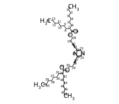 CCCCCCCC(CCCCCCC)C(=O)OCCC#Cc1cncc(C#CCCOC(=O)C(CCCCCCC)CCCCCCC)n1